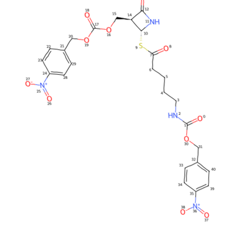 O=C(NCCCCC(=O)S[C@H]1NC(=O)[C@@H]1COC(=O)OCc1ccc([N+](=O)[O-])cc1)OCc1ccc([N+](=O)[O-])cc1